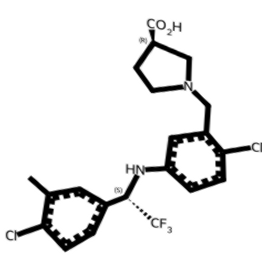 Cc1cc([C@H](Nc2ccc(Cl)c(CN3CC[C@@H](C(=O)O)C3)c2)C(F)(F)F)ccc1Cl